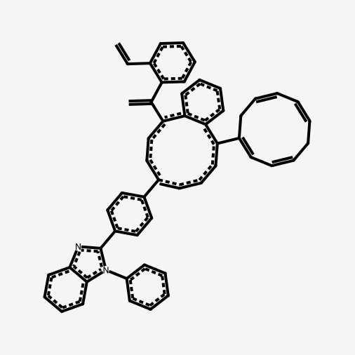 C=Cc1ccccc1C(=C)c1ccc(-c2ccc(-c3nc4ccccc4n3-c3ccccc3)cc2)cccc(/C2=C/C=C\C/C=C\C=C/C2)c2ccccc12